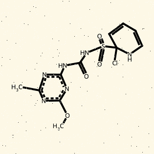 COc1nc(C)nc(NC(=O)NS(=O)(=O)C2(Cl)C=CC=CN2)n1